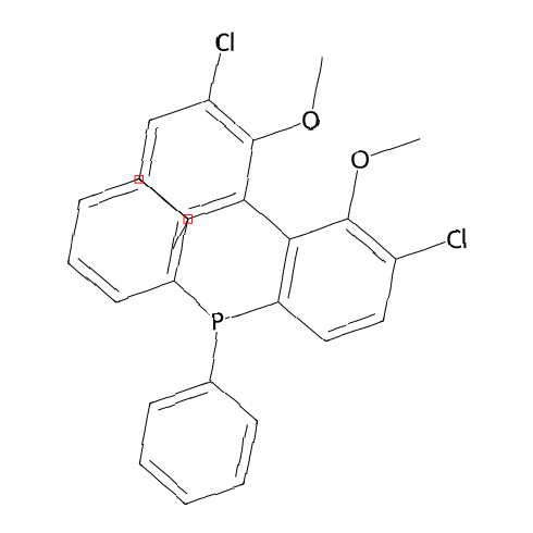 COc1c(Cl)ccc(C)c1-c1c(P(c2ccccc2)c2ccccc2)ccc(Cl)c1OC